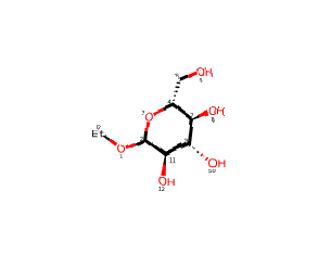 [CH2]COC1O[C@H](CO)[C@@H](O)[C@H](O)[C@H]1O